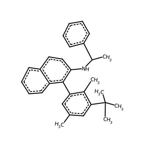 Cc1cc(-c2c(NC(C)c3ccccc3)ccc3ccccc23)c(C)c(C(C)(C)C)c1